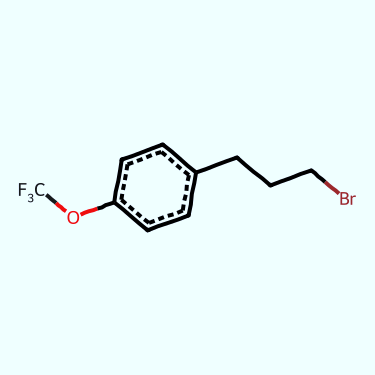 FC(F)(F)Oc1ccc(CCCBr)cc1